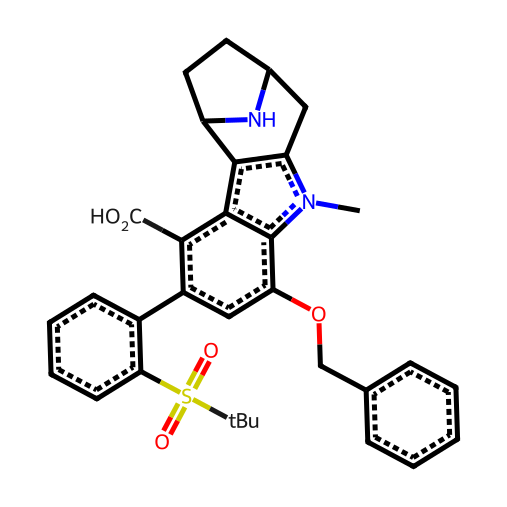 Cn1c2c(c3c(C(=O)O)c(-c4ccccc4S(=O)(=O)C(C)(C)C)cc(OCc4ccccc4)c31)C1CCC(C2)N1